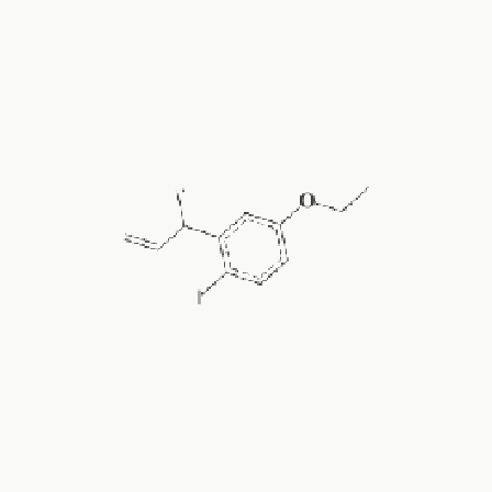 [CH2]C(C=C)c1cc(OCC)ccc1I